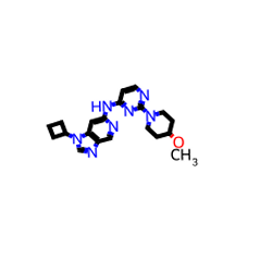 COC1CCN(c2nccc(Nc3cc4c(cn3)ncn4C3CCC3)n2)CC1